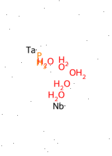 O.O.O.O.O.P.[Nb].[Ta]